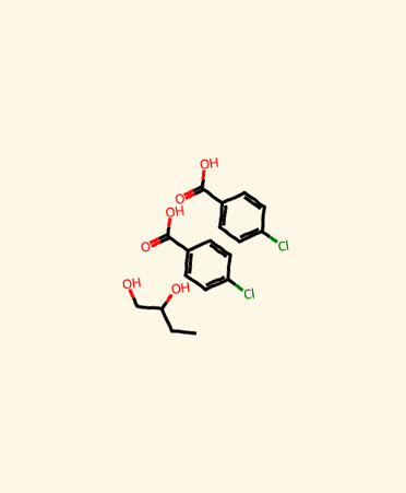 CCC(O)CO.O=C(O)c1ccc(Cl)cc1.O=C(O)c1ccc(Cl)cc1